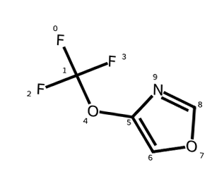 FC(F)(F)Oc1cocn1